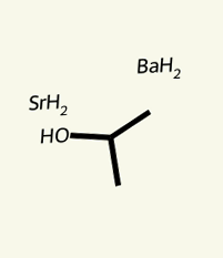 CC(C)O.[BaH2].[SrH2]